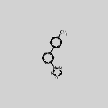 Cc1ccc(-c2cccc(-n3ncnn3)c2)cc1